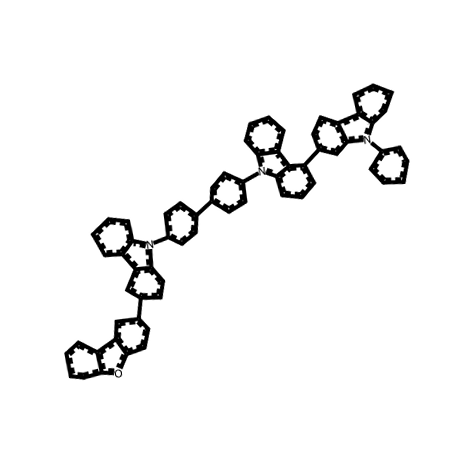 c1ccc(-n2c3ccccc3c3ccc(-c4cccc5c4c4ccccc4n5-c4ccc(-c5ccc(-n6c7ccccc7c7cc(-c8ccc9oc%10ccccc%10c9c8)ccc76)cc5)cc4)cc32)cc1